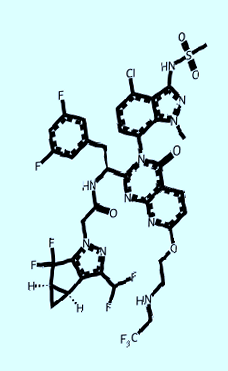 Cn1nc(NS(C)(=O)=O)c2c(Cl)ccc(-n3c([C@H](Cc4cc(F)cc(F)c4)NC(=O)Cn4nc(C(F)F)c5c4C(F)(F)[C@@H]4C[C@H]54)nc4nc(OCCNCC(F)(F)F)ccc4c3=O)c21